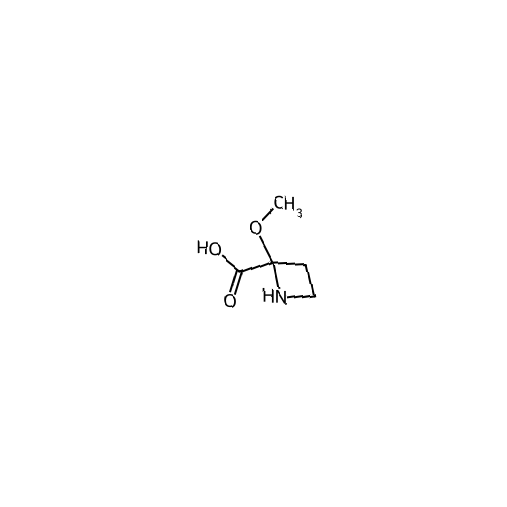 COC1(C(=O)O)CCN1